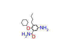 CCCCc1cc(N)cc(C(N)=O)c1OC1CCCCC1